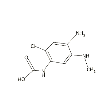 CNc1cc(NC(=O)O)c(Cl)cc1N